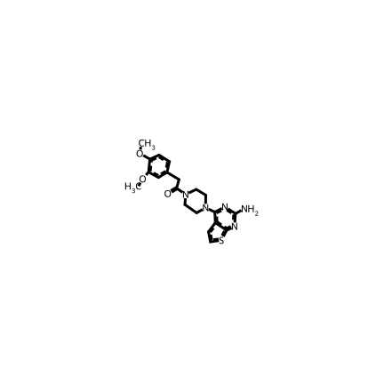 COc1ccc(CC(=O)N2CCN(c3nc(N)nc4sccc34)CC2)cc1OC